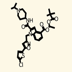 CC(OC(=O)c1cccc2c1cc(C(=O)NC1CCN(C(C)C)CC1)n2Cc1cc(-c2ccc(Cl)s2)on1)OC(=O)C(C)(C)C